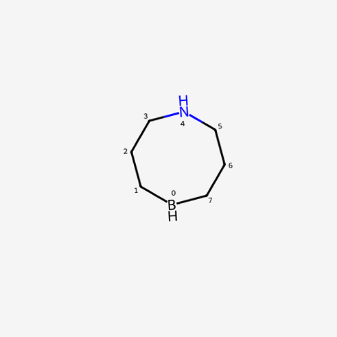 B1CCCNCCC1